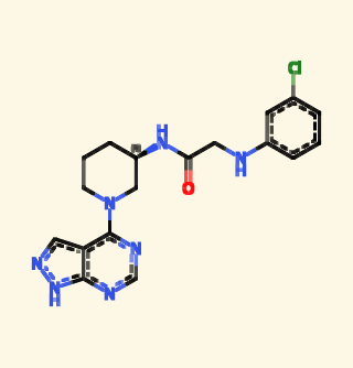 O=C(CNc1cccc(Cl)c1)N[C@@H]1CCCN(c2ncnc3[nH]ncc23)C1